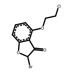 O=C1c2c(OCCCl)cccc2OC1Br